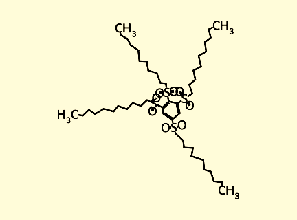 CCCCCCCCCCCS(=O)(=O)c1cc(S(=O)(=O)CCCCCCCCCCC)c(S(=O)(=O)CCCCCCCCCCC)c(S(=O)(=O)CCCCCCCCCCC)c1